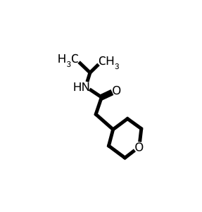 CC(C)NC(=O)CC1CCOCC1